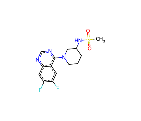 CS(=O)(=O)NC1CCCN(c2ncnc3cc(F)c(F)cc23)C1